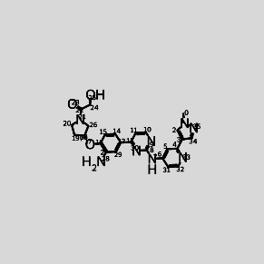 Cn1cc(-c2cc(Nc3nccc(-c4ccc(O[C@@H]5CCN(C(=O)CO)C5)c(N)c4)n3)ccn2)cn1